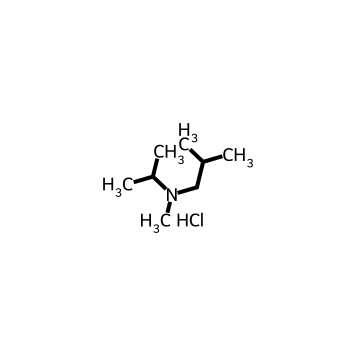 CC(C)CN(C)C(C)C.Cl